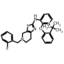 CC(C)(C)c1ccccc1Oc1ncccc1Nc1nc2c(s1)CN(Cc1ccccc1F)CC2